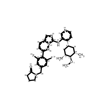 CO[C@H]1[C@H](N)C[C@H](c2ccncc2Nc2ncc3ccc(-c4c(F)cc(CN5CCCC5=O)cc4F)nn23)C[C@@H]1C